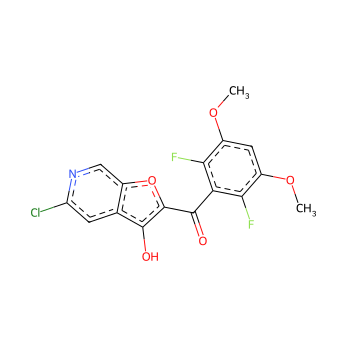 COc1cc(OC)c(F)c(C(=O)c2oc3cnc(Cl)cc3c2O)c1F